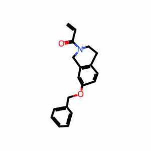 C=CC(=O)N1CCc2ccc(OCc3ccccc3)cc2C1